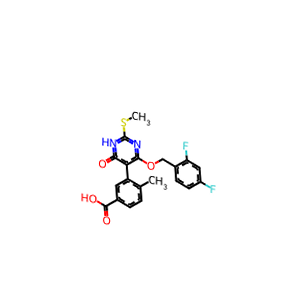 CSc1nc(OCc2ccc(F)cc2F)c(-c2cc(C(=O)O)ccc2C)c(=O)[nH]1